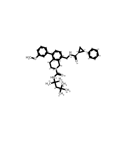 COc1cccc(-c2ccc(CNC(=O)[C@H]3C[C@@H]3c3ccccc3)c3c2CCN(C(=O)NC(C)(C)CC(C)(C)C)C3)c1